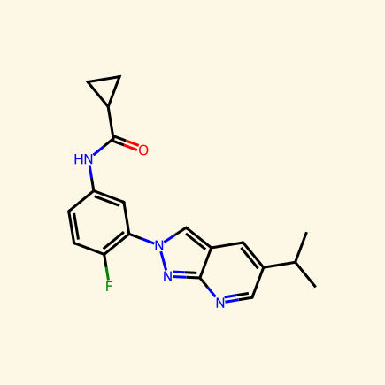 CC(C)c1cnc2nn(-c3cc(NC(=O)C4CC4)ccc3F)cc2c1